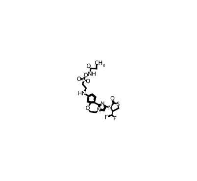 CCC(=O)NOS(=O)(=O)CCNc1ccc2c(c1)OCCn1cc(N3C(=O)SC[C@H]3C(F)F)nc1-2